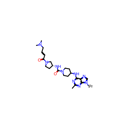 Cc1nc(NC2CCN(C(=O)N[C@@H]3CCN(C(=O)/C=C/CN(C)C)C3)CC2)c2ncn(C(C)C)c2n1